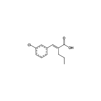 CCC/C(=C\c1cccc(Cl)c1)C(=O)O